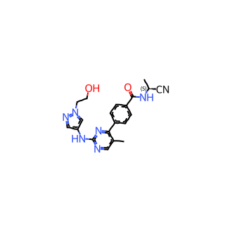 Cc1cnc(Nc2cnn(CCO)c2)nc1-c1ccc(C(=O)N[C@@H](C)C#N)cc1